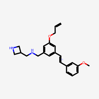 C=CCOc1cc(/C=C/c2cccc(OC)c2)cc(CNCC2CNC2)c1